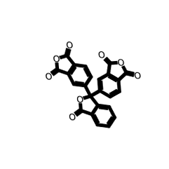 O=C1OC(=O)c2cc(C3(c4ccc5c(c4)C(=O)OC5=O)OC(=O)c4ccccc43)ccc21